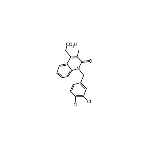 Cc1c(CC(=O)O)c2ccccc2n(Cc2ccc(Cl)c(Cl)c2)c1=O